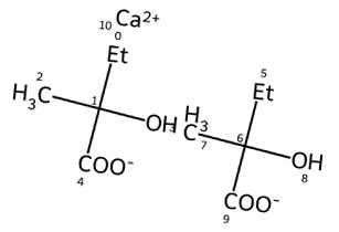 CCC(C)(O)C(=O)[O-].CCC(C)(O)C(=O)[O-].[Ca+2]